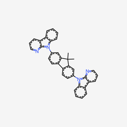 CC1(C)c2cc(-n3c4ccccc4c4cccnc43)ccc2-c2ccc(-n3c4ccccc4c4cccnc43)cc21